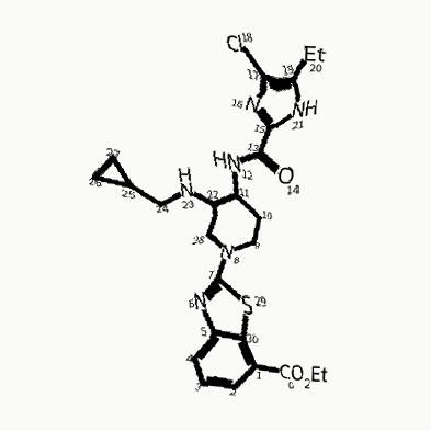 CCOC(=O)c1cccc2nc(N3CCC(NC(=O)c4nc(Cl)c(CC)[nH]4)C(NCC4CC4)C3)sc12